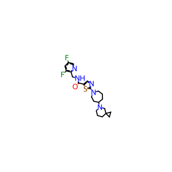 O=C(NCc1ncc(F)cc1F)c1cnc(N2CCCC(N3CCCC4(CC4)C3)CC2)s1